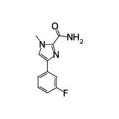 Cn1cc(-c2cccc(F)c2)nc1C(N)=O